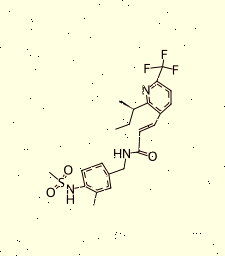 CC[C@@H](C)c1nc(C(F)(F)F)ccc1/C=C/C(=O)NCc1ccc(NS(C)(=O)=O)c(C)c1